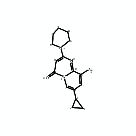 CC(=O)c1cc(C2CC2)cn2c(=O)cc(N3CCCCC3)nc12